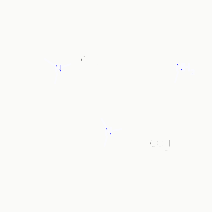 CN1CCC[C@H]1C1=CC=CN(C(CCN)C(=O)O)C1